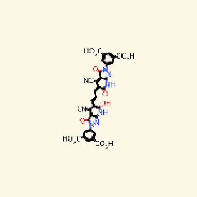 [C-]#[N+]c1c(C=CC=c2c(C#N)c3c([nH]c2=O)=NN(c2cc(C(=O)O)cc(C(=O)O)c2)C3=O)c(O)[nH]c2nn(-c3cc(C(=O)O)cc(C(=O)O)c3)c(=O)c1-2